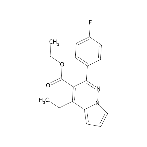 CCOC(=O)c1c(-c2ccc(F)cc2)nn2cccc2c1CC